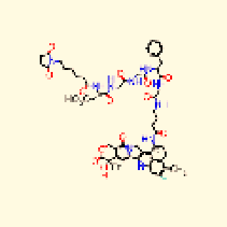 CC[C@@]1(O)C(=O)OCc2c1cc1n(c2=O)Cc2c-1nc1cc(F)c(C)c3c1c2[C@@H](NC(=O)CCCNC(=O)CNC(=O)C(Cc1ccccc1)NC(=O)CNC(=O)CNC(=O)[C@H](CC(=O)O)NC(=O)CCCCCN1C(=O)C=CC1=O)CC3